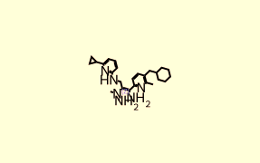 Cc1nc(/C(N)=C(\CNc2cccc(C3CC3)n2)N(C)N)ccc1CC1CCCCC1